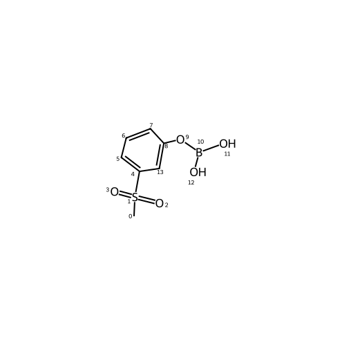 CS(=O)(=O)c1cccc(OB(O)O)c1